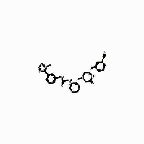 Cn1nnnc1-c1cccc(NC(=O)N[C@@H]2CCCC[C@H]2CN2CC(=O)N[C@@H](Cc3cccc(C#N)c3)C2)c1